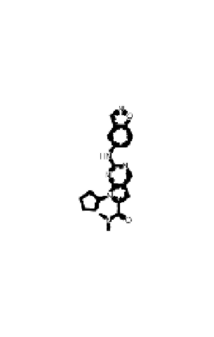 CN(C)C(=O)c1cc2cnc(Nc3ccc4oncc4c3)nc2n1C1CCCC1